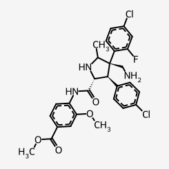 COC(=O)c1ccc(NC(=O)[C@@H]2NC(C)[C@](CN)(c3ccc(Cl)cc3F)[C@H]2c2ccc(Cl)cc2)c(OC)c1